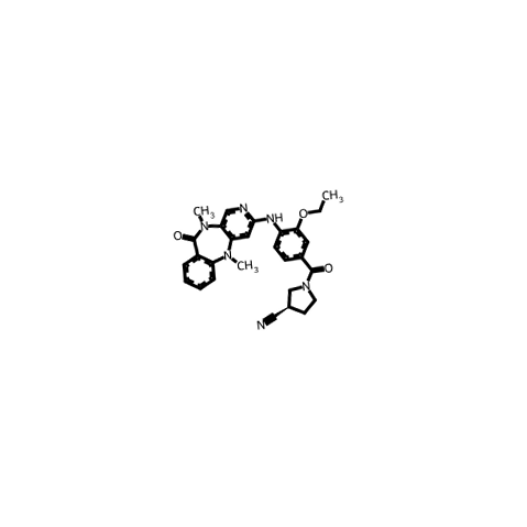 CCOc1cc(C(=O)N2CC[C@@H](C#N)C2)ccc1Nc1cc2c(cn1)N(C)C(=O)c1ccccc1N2C